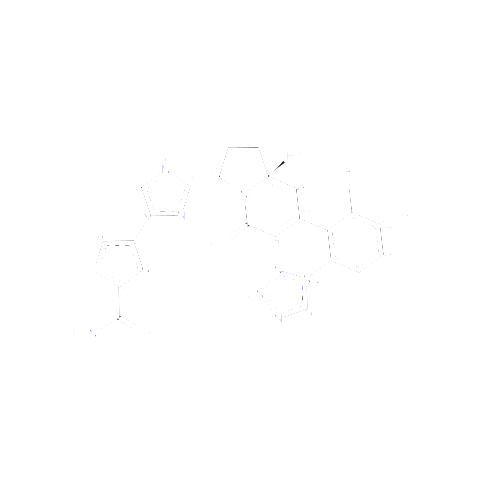 NC(=O)c1cc(-c2cnc([C@@H]3CC[C@@H]4CC(c5c(-n6cnnn6)ccc(Cl)c5F)=CC(=O)N43)[nH]2)cs1